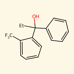 CCC(O)(c1ccccc1)c1ccccc1C(F)(F)F